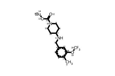 Cc1ccc(CNC2CCN(C(=O)OC(C)(C)C)CC2)cc1OC(F)(F)F